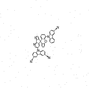 N#Cc1ccc2c(c1)c1cc(C#N)ccc1n2-c1cnc2c(c1)C1(c3ccccc3Oc3c(-n4c5ccccc5c5cc(C#N)ccc54)cccc31)c1cccnc1-2